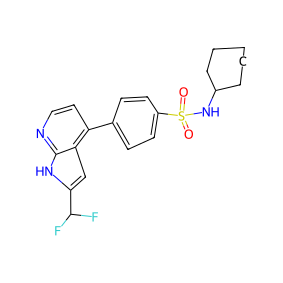 O=S(=O)(NC1CCCCC1)c1ccc(-c2ccnc3[nH]c(C(F)F)cc23)cc1